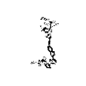 COC(=O)N[C@H](C(=O)N1CC(F)(F)C[C@H]1c1ncc(C#Cc2ccc3cc(-c4cnc([C@@H]5CCCN5C[C@](C=O)(NC(=O)OC)C(C)C)[nH]4)ccc3c2)[nH]1)C(C)C